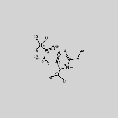 CCC(=O)NC(C(=O)C[C@@H](C)C(=O)C(C)(C)C)C(C)C